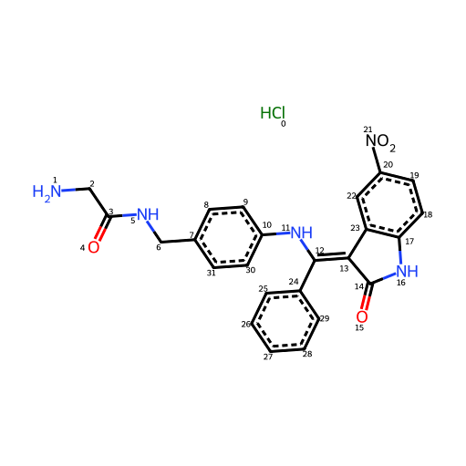 Cl.NCC(=O)NCc1ccc(NC(=C2C(=O)Nc3ccc([N+](=O)[O-])cc32)c2ccccc2)cc1